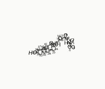 COC(=O)c1coc(CNC(=O)c2cccc(CCNC(=O)C34CCCC3C3CC5CC67CCC(O)C(C)(C)C6C[C@@H](C)C5(C7)C3CC4)c2)n1